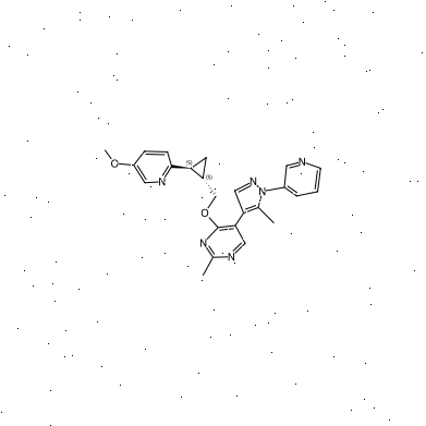 COc1ccc([C@H]2C[C@@H]2COc2nc(C)ncc2-c2cnn(-c3cccnc3)c2C)nc1